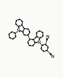 N#Cc1ccc(-n2c3ccccc3c3c(-c4ccc5c6ccccc6n(-c6ccccc6)c5c4)cccc32)c(C#N)c1